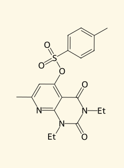 CCn1c(=O)c2c(OS(=O)(=O)c3ccc(C)cc3)cc(C)nc2n(CC)c1=O